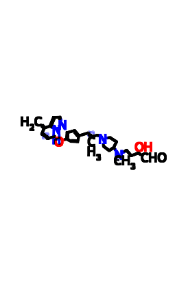 C=C(/C=C\COc1ccc(/C=C(\C)CN2CCC(N(C)CCC(O)C=O)CC2)cc1)c1ccn[nH]1